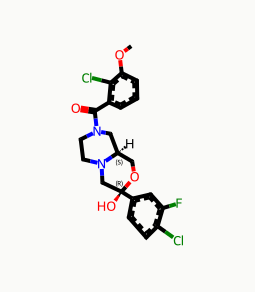 COc1cccc(C(=O)N2CCN3C[C@@](O)(c4ccc(Cl)c(F)c4)OC[C@@H]3C2)c1Cl